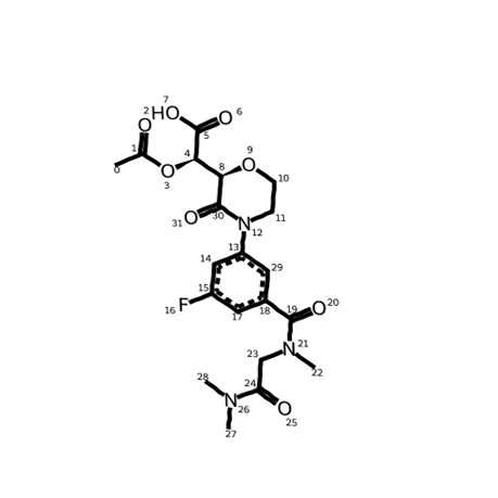 CC(=O)O[C@@H](C(=O)O)[C@H]1OCCN(c2cc(F)cc(C(=O)N(C)CC(=O)N(C)C)c2)C1=O